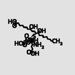 CCCCC/C=C/CC(O)C(/C=C/C(O)C/C=C/CCCC(=O)O)SC[C@H](NC(=O)[C@@H](N)CCC(=O)O)C(=O)NCC(=O)O